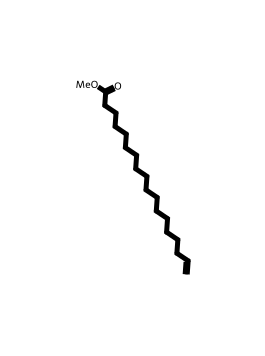 C=CCCCCCCCCCCCCCCCC(=O)OC